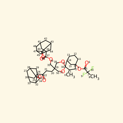 CC1CC2(OC(=O)C(C)(F)F)CCCC(C2)C12OCC(CCC(=O)C13CC4CC(C1)C(=O)C(C4)C3)(COC(=O)C13CC4CC(C1)C(=O)C(C4)C3)CO2